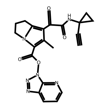 C#CC1(NC(=O)C(=O)c2c(C)c(C(=O)On3nnc4cccnc43)n3c2CCC3)CC1